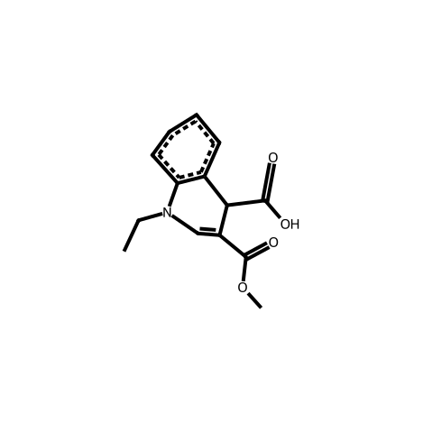 CCN1C=C(C(=O)OC)C(C(=O)O)c2ccccc21